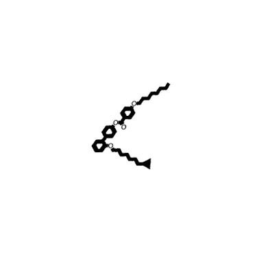 CCCCCCCCOc1ccc(C(=O)Oc2ccc(-c3cc[c]cc3OCCCCCCCC3CC3)cc2)cc1